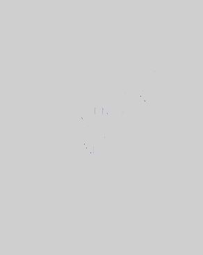 CS(=O)(=O)NCCNC(=O)[C@H](O)[C@@H](N)Cc1ccccc1